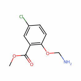 COC(=O)c1cc(Cl)ccc1OCN